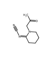 CC(=O)CN1CCCC/C1=N/C#N